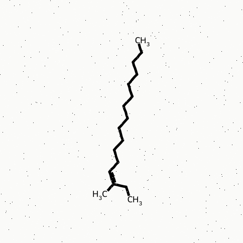 CCCCCCCCCCCCC=C(C)CC